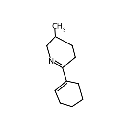 CC1CCC(C2=CCCCC2)=NC1